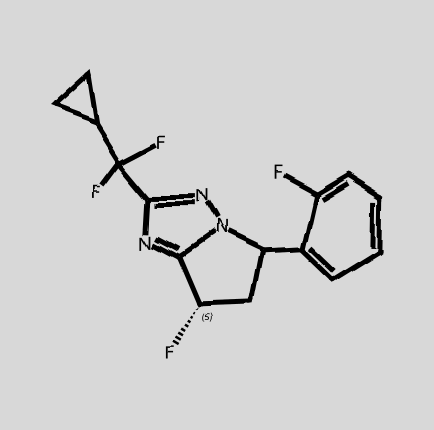 Fc1ccccc1C1C[C@H](F)c2nc(C(F)(F)C3CC3)nn21